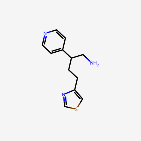 NCC(CCc1cscn1)c1ccncc1